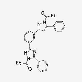 CCC(=O)n1nc(-c2cccc(-c3nc(-c4ccccc4)n(C(=O)CC)n3)c2)cc1-c1ccccc1